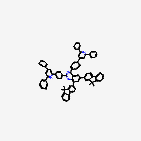 CC1(C)c2ccccc2-c2ccc(-c3cc(-c4ccc5c(c4)C(C)(C)c4ccccc4-5)c4nc(-c5ccc(-c6cc(-c7ccccc7)cc(-c7ccccc7)n6)cc5)nc(-c5ccc(-c6cc(-c7ccccc7)nc(-c7ccccc7)c6)cc5)c4c3)cc21